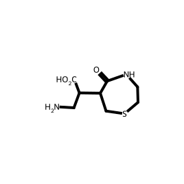 NCC(C(=O)O)C1CSCCNC1=O